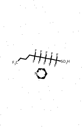 O=S(=O)(O)C(F)(F)C(F)(F)C(F)(F)C(F)(F)C(F)(F)CCCC(F)(F)F.c1ccncc1